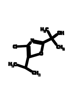 CC(C)c1oc(C(C)(C)O)nc1Cl